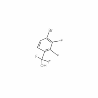 OC(F)(F)c1ccc(Br)c(F)c1F